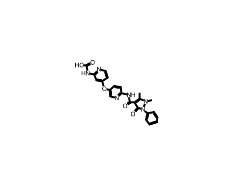 Cc1c(C(=O)Nc2ccc(Oc3ccnc(NC(=O)O)c3)cn2)c(=O)n(-c2ccccc2)n1C